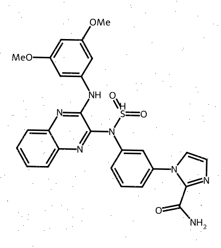 COc1cc(Nc2nc3ccccc3nc2N(c2cccc(-n3ccnc3C(N)=O)c2)[SH](=O)=O)cc(OC)c1